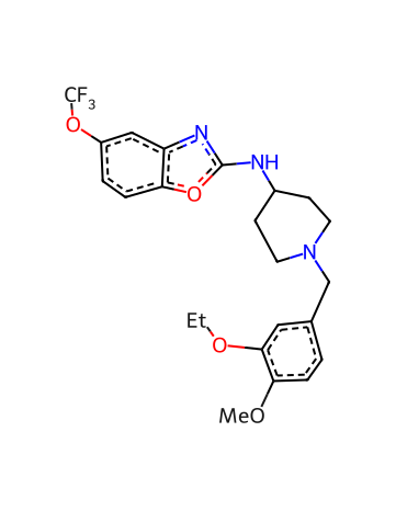 CCOc1cc(CN2CCC(Nc3nc4cc(OC(F)(F)F)ccc4o3)CC2)ccc1OC